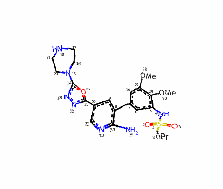 CCCS(=O)(=O)Nc1cc(-c2cc(-c3nnc(N4CCNCC4)o3)cnc2N)cc(OC)c1OC